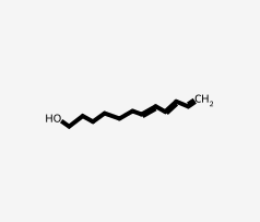 C=CC=CC=CCCCCCCO